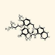 COc1ccc(COc2ncc3c(c2NS(=O)(=O)c2cccc(Cl)c2C)OCCC3)cc1OCCN(C)C